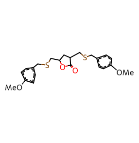 COc1ccc(CSCC2CC(CSCc3ccc(OC)cc3)C(=O)O2)cc1